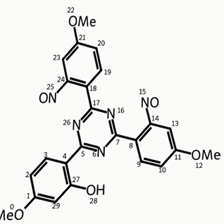 COc1ccc(-c2nc(-c3ccc(OC)cc3N=O)nc(-c3ccc(OC)cc3N=O)n2)c(O)c1